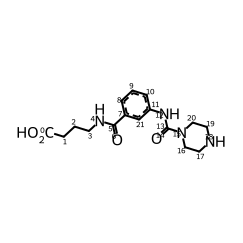 O=C(O)CCCNC(=O)c1cccc(NC(=O)N2CCNCC2)c1